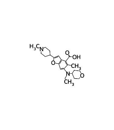 CCN(c1cc2oc(C3CCN(C)CC3)cc2c(C(=O)O)c1C)C1CCOCC1